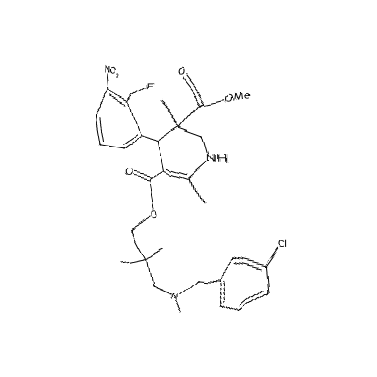 COC(=O)C1(C)CNC(C)=C(C(=O)OCC(C)(C)CN(C)Cc2cccc(Cl)c2)C1c1cccc([N+](=O)[O-])c1F